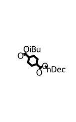 CCCCCCCCCCOC(=O)C1CCC(C(=O)OCC(C)C)CC1